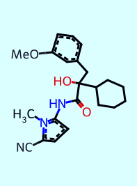 COc1cccc(CC(O)(C(=O)Nc2ccc(C#N)n2C)C2CCCCC2)c1